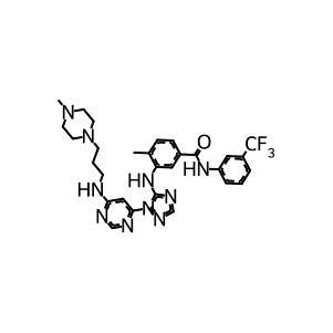 Cc1ccc(C(=O)Nc2cccc(C(F)(F)F)c2)cc1Nc1ncnn1-c1cc(NCCCN2CCN(C)CC2)ncn1